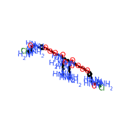 N=C(N)NCCCC[C@@H](N)C(=O)NC(CCCC(NC(=O)[C@H](N)CCCCNC(=N)N)C(=O)NCCOCCOCCOc1ccc(CNC(=N)NC(=O)c2nc(Cl)c(N)nc2N)cc1)C(=O)NCCOCCOCCOc1ccc(CNC(=N)NC(=O)c2nc(Cl)c(N)nc2N)cc1